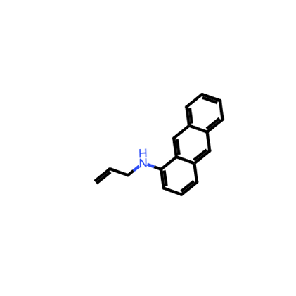 C=CCNc1cccc2cc3ccccc3cc12